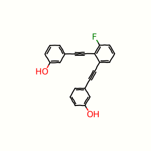 Oc1cccc(C#Cc2cccc(F)c2C#Cc2cccc(O)c2)c1